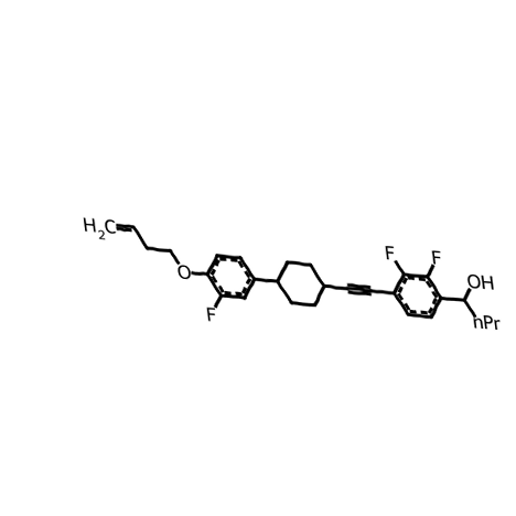 C=CCCOc1ccc(C2CCC(C#Cc3ccc(C(O)CCC)c(F)c3F)CC2)cc1F